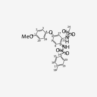 COc1ccc(Oc2ccc(NS(=O)(=O)c3ccc(C)cc3)c(NS(C)(=O)=O)c2)cc1